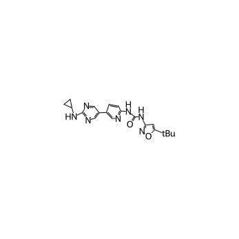 CC(C)(C)c1cc(NC(=O)Nc2ccc(-c3cnc(NC4CC4)nc3)cn2)no1